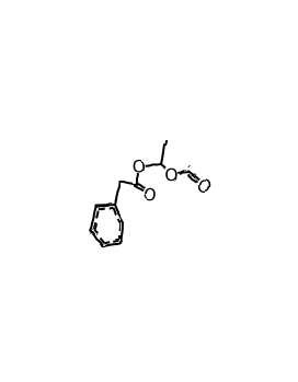 CC(O[C]=O)OC(=O)Cc1ccccc1